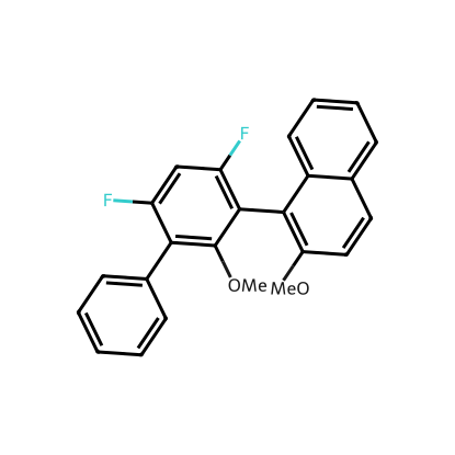 COc1ccc2ccccc2c1-c1c(F)cc(F)c(-c2ccccc2)c1OC